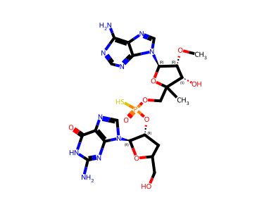 CO[C@H]1[C@H](n2cnc3c(N)ncnc32)OC(C)(COP(=O)(S)O[C@@H]2CC(CO)O[C@H]2n2cnc3c(=O)[nH]c(N)nc32)[C@H]1O